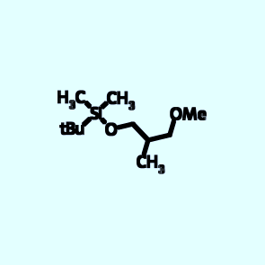 COCC(C)CO[Si](C)(C)C(C)(C)C